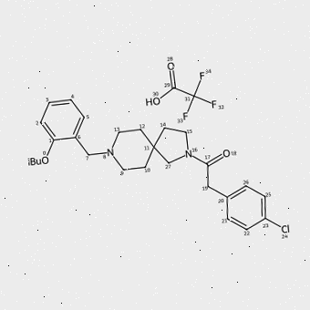 CC(C)COc1ccccc1CN1CCC2(CC1)CCN(C(=O)Cc1ccc(Cl)cc1)C2.O=C(O)C(F)(F)F